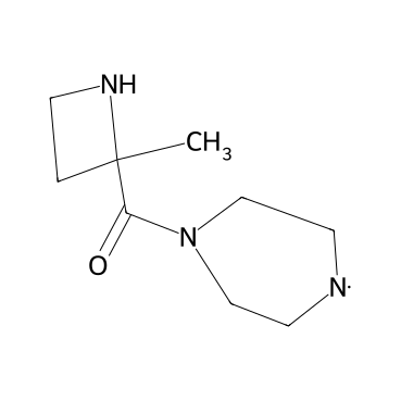 CC1(C(=O)N2CC[N]CC2)CCN1